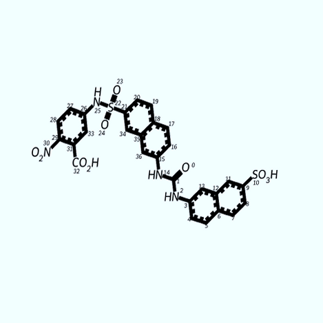 O=C(Nc1ccc2ccc(S(=O)(=O)O)cc2c1)Nc1ccc2ccc(S(=O)(=O)Nc3ccc([N+](=O)[O-])c(C(=O)O)c3)cc2c1